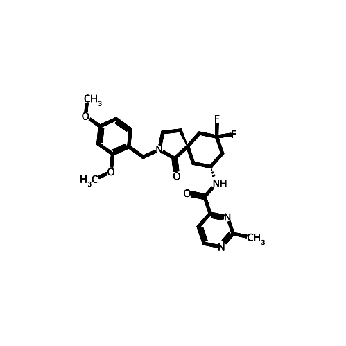 COc1ccc(CN2CC[C@@]3(C[C@@H](NC(=O)c4ccnc(C)n4)CC(F)(F)C3)C2=O)c(OC)c1